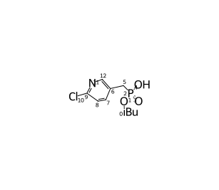 CCC(C)OP(=O)(O)Cc1ccc(Cl)nc1